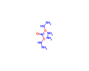 NN.NNO[N+](=O)ONN